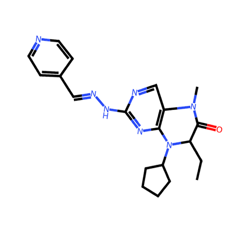 CCC1C(=O)N(C)c2cnc(NN=Cc3ccncc3)nc2N1C1CCCC1